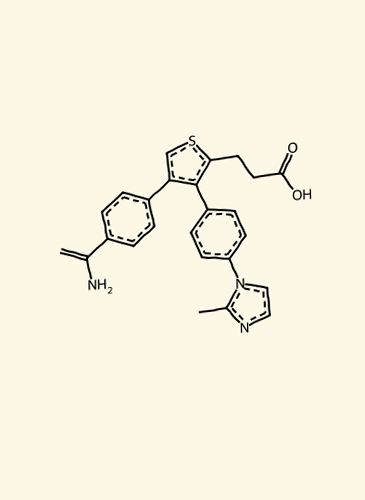 C=C(N)c1ccc(-c2csc(CCC(=O)O)c2-c2ccc(-n3ccnc3C)cc2)cc1